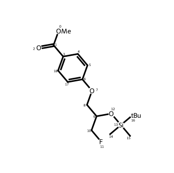 COC(=O)c1ccc(OCC(CF)O[Si](C)(C)C(C)(C)C)cc1